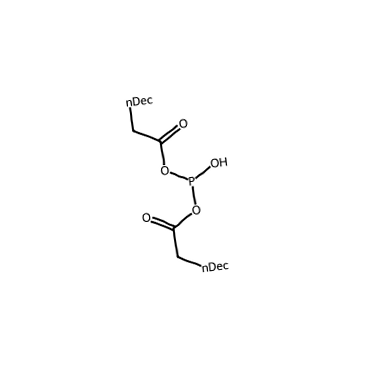 CCCCCCCCCCCC(=O)OP(O)OC(=O)CCCCCCCCCCC